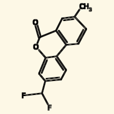 Cc1ccc2c(c1)c(=O)oc1cc(C(F)F)ccc12